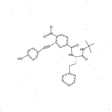 CC(C)(C)NC(=O)[C@H](CCc1ccccc1)NC(=O)c1ccc([N+](=O)[O-])c(C#Cc2ccc(O)cc2)c1